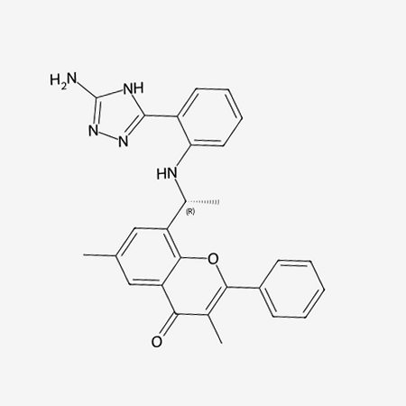 Cc1cc([C@@H](C)Nc2ccccc2-c2nnc(N)[nH]2)c2oc(-c3ccccc3)c(C)c(=O)c2c1